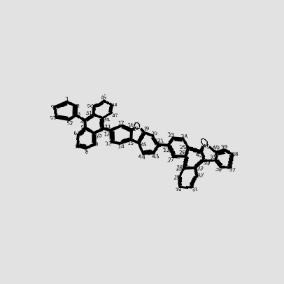 c1ccc(-c2c3ccccc3c(-c3ccc4c(c3)oc3cc(-c5ccc6c(c5)c5ccccc5c5c7ccccc7oc65)ccc34)c3ccccc23)cc1